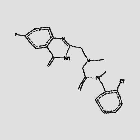 C=C1NC(CN(C)CC(=C)N(C)c2ccccc2Cl)=Nc2ccc(F)cc21